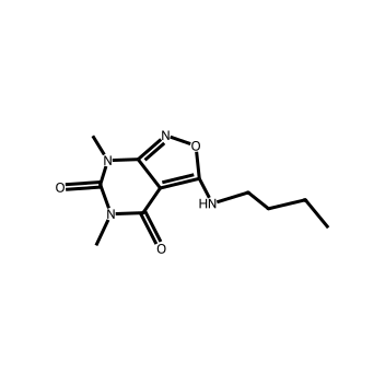 CCCCNc1onc2c1c(=O)n(C)c(=O)n2C